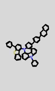 c1ccc(-c2ccc(N(c3ccc(-c4ccc(-c5ccc6ccccc6c5)cc4)cc3)c3cccc4c3c3ccccc3n4-c3ccccc3)c3c2sc2ccccc23)cc1